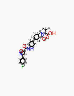 CC(C)[C@@H](C(=O)O)N1Cc2ccc(-c3ccc(NC(=O)c4cc(-c5ccc(F)cc5)no4)cc3)cc2C1=O